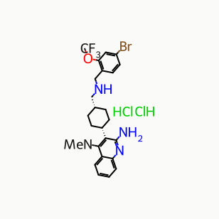 CNc1c2ccccc2nc(N)c1[C@H]1CC[C@@H](CNCc2ccc(Br)cc2OC(F)(F)F)CC1.Cl.Cl